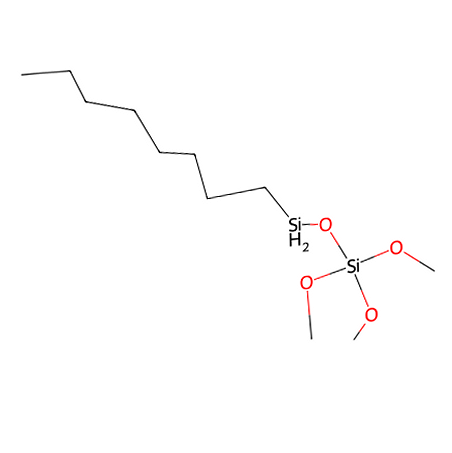 CCCCCCCC[SiH2]O[Si](OC)(OC)OC